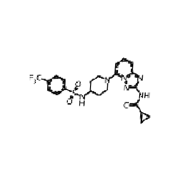 O=C(Nc1nc2cccc(N3CCC(NS(=O)(=O)c4ccc(C(F)(F)F)cc4)CC3)n2n1)C1CC1